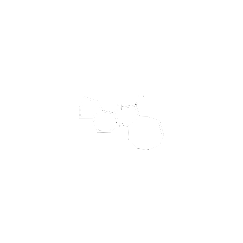 O=c1nc2c3ccccc3ccn2c2c1C/C=C\CCCC2